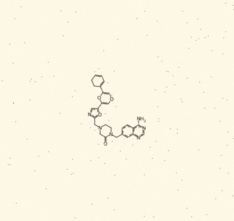 Nc1ncnc2cc(CN3CCN(Cc4ncc(C5=COC=C(C6=CC=CCC6)O5)o4)CC3=O)ccc12